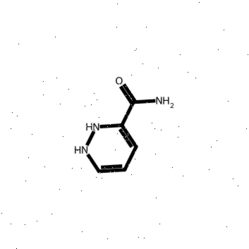 NC(=O)C1=CC=CNN1